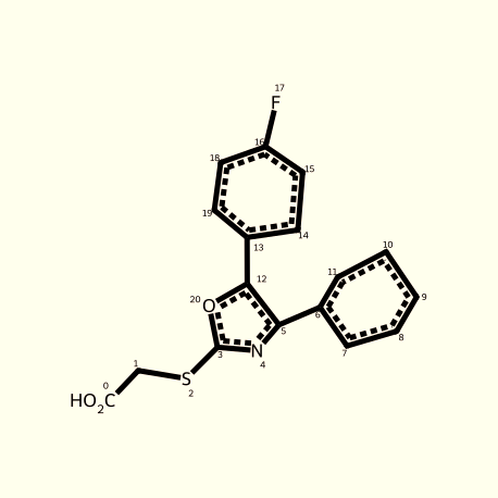 O=C(O)CSc1nc(-c2ccccc2)c(-c2ccc(F)cc2)o1